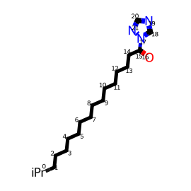 CC(C)CCCCCCCCCCCCCCC(=O)n1cncn1